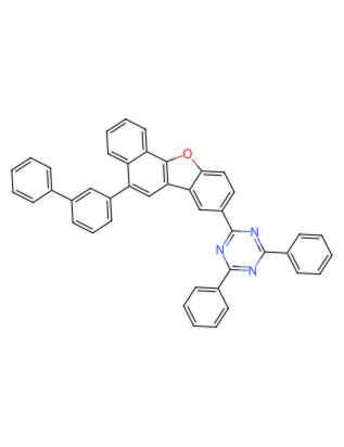 c1ccc(-c2cccc(-c3cc4c5cc(-c6nc(-c7ccccc7)nc(-c7ccccc7)n6)ccc5oc4c4ccccc34)c2)cc1